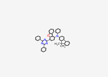 CC1(C)c2ccccc2-c2ccc(N(c3ccccc3)c3ccc(-c4nc(-c5ccccc5)nc(-c5ccccc5)n4)c4oc5ccccc5c34)cc21